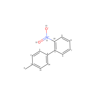 Cc1ccc(-c2ccc[c]c2[N+](=O)[O-])cc1